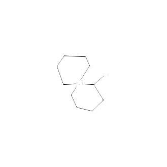 BrC1CCCC[N+]12CCCCC2